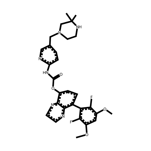 COc1cc(OC)c(F)c(-c2ccc(OC(=O)Nc3ccc(CN4CCNC(C)(C)C4)cn3)c3nccnc23)c1F